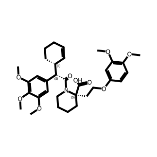 COc1ccc(OCC[C@]2(C(=O)O)CCCCN2C(=O)[C@H](c2cc(OC)c(OC)c(OC)c2)[C@H]2C=CCCC2)cc1OC